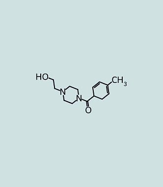 CC1=CCC(C(=O)N2CCN(CCO)CC2)C=C1